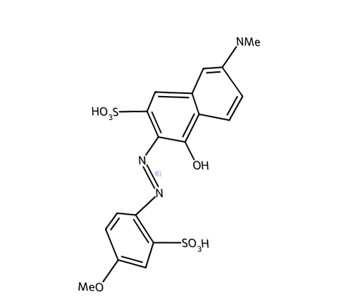 CNc1ccc2c(O)c(/N=N/c3ccc(OC)cc3S(=O)(=O)O)c(S(=O)(=O)O)cc2c1